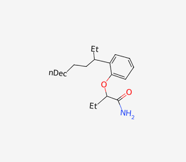 CCCCCCCCCCCCC(CC)c1ccccc1OC(CC)C(N)=O